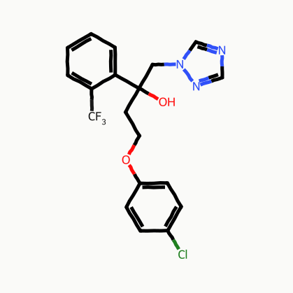 OC(CCOc1ccc(Cl)cc1)(Cn1cncn1)c1ccccc1C(F)(F)F